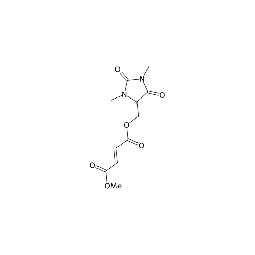 COC(=O)/C=C/C(=O)OCC1C(=O)N(C)C(=O)N1C